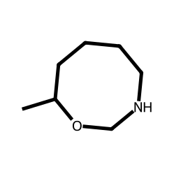 CC1CCCCNCO1